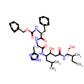 CCC(C)[C@@H](CO)NC(=O)CC(O)C(CC(C)C)NC(=O)[C@H](Cc1c[nH]cn1)NC(=O)[C@H](Cc1ccccc1)NC(=O)OCc1ccccc1